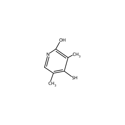 Cc1cnc(O)c(C)c1S